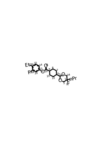 CCCC1(F)COC(C2CCC(C(=O)Oc3ccc(CC)c(F)c3)CC2)OC1